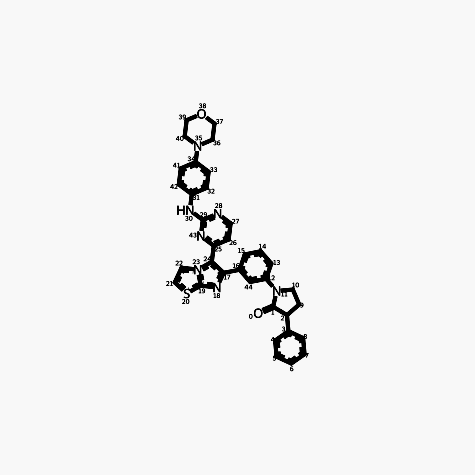 O=C1C(c2ccccc2)CCN1c1cccc(-c2nc3sccn3c2-c2ccnc(Nc3ccc(N4CCOCC4)cc3)n2)c1